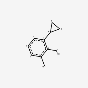 [CH2]c1cccc(C2CC2)c1Cl